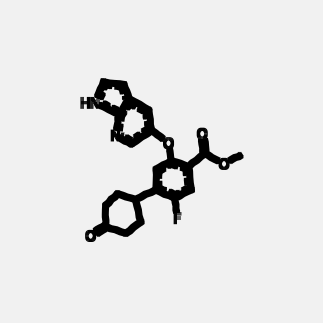 COC(=O)c1cc(F)c(C2CCC(=O)CC2)cc1Oc1cnc2[nH]ccc2c1